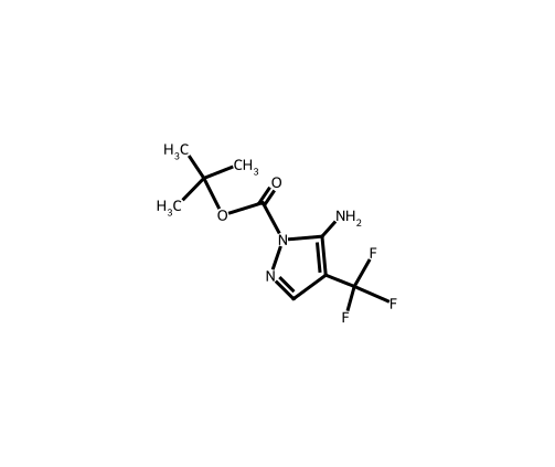 CC(C)(C)OC(=O)n1ncc(C(F)(F)F)c1N